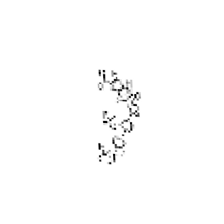 CCC1(c2ccc(-c3ccc(-c4nc(S(=O)(=O)Nc5cc(F)c(C(=O)O)cc5OC)cs4)cc3OC(F)(F)F)cc2)CC2CC[C@@H](C2)C1